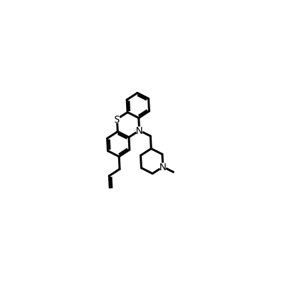 C=CCc1ccc2c(c1)N(CC1CCCN(C)C1)c1ccccc1S2